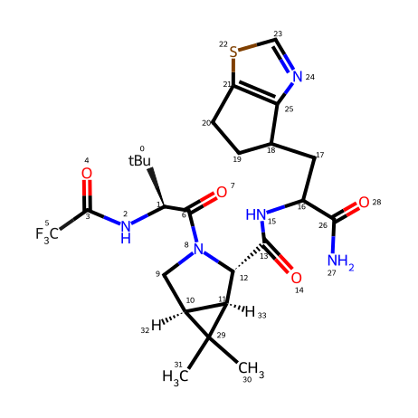 CC(C)(C)[C@H](NC(=O)C(F)(F)F)C(=O)N1C[C@H]2[C@@H]([C@H]1C(=O)NC(CC1CCc3scnc31)C(N)=O)C2(C)C